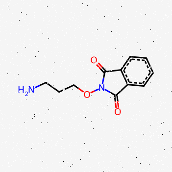 NCCCON1C(=O)c2ccccc2C1=O